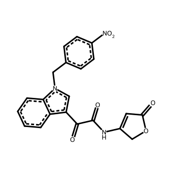 O=C1C=C(NC(=O)C(=O)c2cn(Cc3ccc([N+](=O)[O-])cc3)c3ccccc23)CO1